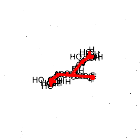 O=C(CCOCCOCCn1cc(COCCOCCO[C@]2(C(=O)O)C[C@H](O)[C@@H](NC(=O)CO)[C@H]([C@H](O)[C@H](O)CO)O2)nn1)NCCCC[C@H](NC(=O)CCCNC(=O)CCOCCOCCn1cc(COCCOCCO[C@]2(C(=O)O)C[C@H](O)[C@@H](NC(=O)CO)[C@H]([C@H](O)[C@H](O)CO)O2)nn1)C(=O)NCCOCCOCCOCCOCCCCC(=O)Oc1c(F)c(F)c(F)c(F)c1F